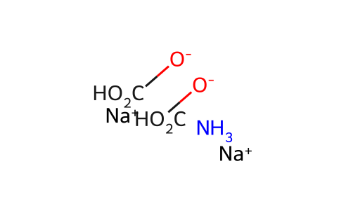 N.O=C([O-])O.O=C([O-])O.[Na+].[Na+]